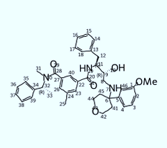 COc1cccc(C2(NC[C@@H](O)[C@H](Cc3ccccc3)NC(=O)c3cc(C)cc(C(=O)N(C)[C@H](C)c4ccccc4)c3)CCOCC2)c1